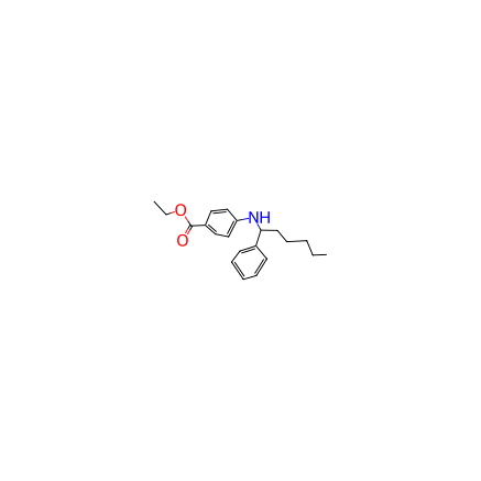 CCCCCC(Nc1ccc(C(=O)OCC)cc1)c1ccccc1